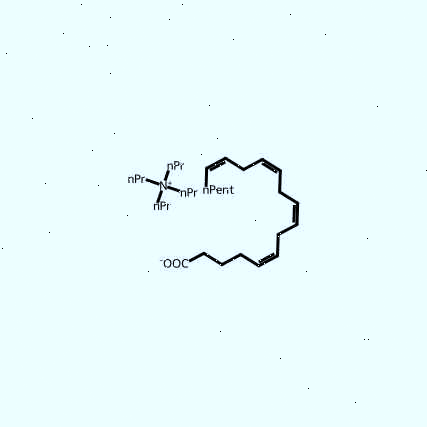 CCCCC/C=C\C/C=C\C/C=C\C/C=C\CCCC(=O)[O-].CCC[N+](CCC)(CCC)CCC